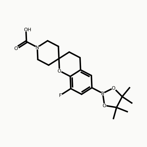 CC1(C)OB(c2cc(F)c3c(c2)CCC2(CCN(C(=O)O)CC2)O3)OC1(C)C